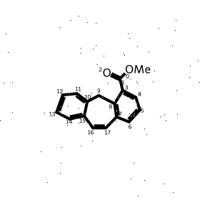 COC(=O)c1cccc2c1Cc1ccccc1C=C2